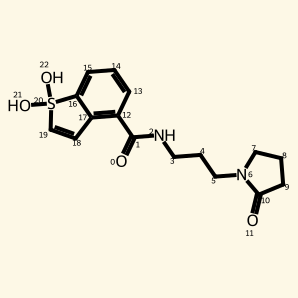 O=C(NCCCN1CCCC1=O)c1cccc2c1C=CS2(O)O